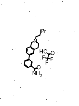 CC(C)CCN1CCc2cc(-c3cccc(C(N)=O)c3)ccc2C1.O=C(O)C(F)(F)F